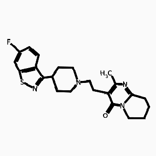 Cc1nc2n(c(=O)c1CCN1CCC(c3nsc4cc(F)ccc34)CC1)CCCC2